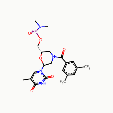 Cc1cn(C2CN(C(=O)c3cc(C(F)(F)F)cc(C(F)(F)F)c3)C[C@@H](CO[PH](=O)N(C)C)O2)c(=O)[nH]c1=O